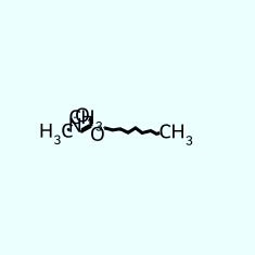 CCCCCCCCCOC(C=O)=CN(C)C